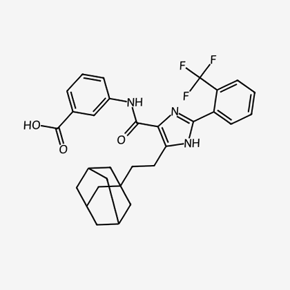 O=C(O)c1cccc(NC(=O)c2nc(-c3ccccc3C(F)(F)F)[nH]c2CCC23CC4CC(CC(C4)C2)C3)c1